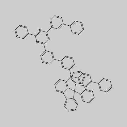 c1ccc(-c2ccc(N(c3cccc(-c4cccc(-c5nc(-c6ccccc6)nc(-c6cccc(-c7ccccc7)c6)n5)c4)c3)c3cccc4c3C3(c5ccccc5-c5ccccc53)c3ccccc3-4)cc2)cc1